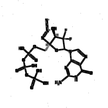 [N-]=[N+]=N[C@]1(COP(=O)(O)OP(=O)(O)OP(=O)(O)O)OC(n2cnc3c(=O)[nH]c(N)nc32)C(F)(F)[C@@H]1O